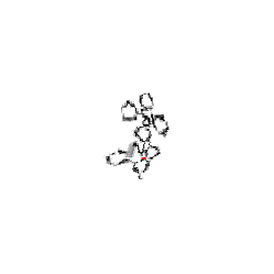 Cc1cccc(-c2ccccc2-n2c3ccccc3c3cc([Si](c4ccccc4)(c4ccccc4)c4ccccc4)ccc32)c1